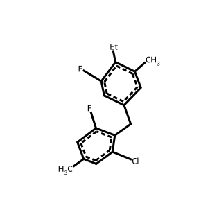 CCc1c(C)cc(Cc2c(F)cc(C)cc2Cl)cc1F